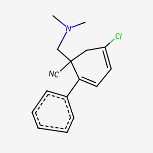 CN(C)CC1(C#N)CC(Cl)=CC=C1c1ccccc1